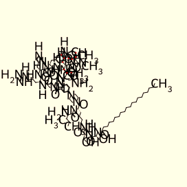 CCCCCCCCCCCCCCCCCCCC(=O)N[C@@H](CO)C(=O)N[C@@H](CO)C(=O)NCCCC[C@H](NC(=O)[C@@H](N)[C@@H](C)CC)C(=O)N1CCN(c2ccc3ncn(CC(=O)N[C@@H](CCCNC(=N)N)C(=O)N[C@@H](Cc4c[nH]cn4)C(=O)N[C@@H](Cc4ccc(O)cc4)C(=O)N[C@@H](CC(C)C)C(=O)N[C@@H](CC(N)=O)C(=O)N[C@@H](Cc4c[nH]c5ccccc45)C(=O)N[C@H](C(=O)NC)C(C)C)c(=O)c3c2)CC1